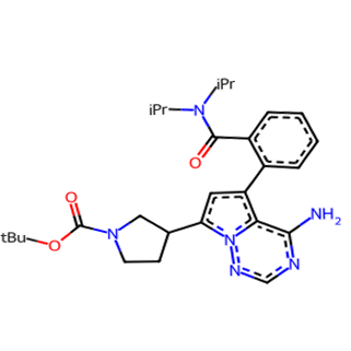 CC(C)N(C(=O)c1ccccc1-c1cc(C2CCN(C(=O)OC(C)(C)C)C2)n2ncnc(N)c12)C(C)C